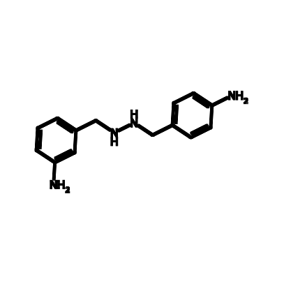 Nc1ccc(CNNCc2cccc(N)c2)cc1